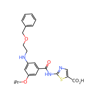 CC(C)Oc1cc(NCCOCc2ccccc2)cc(C(=O)Nc2ncc(C(=O)O)s2)c1